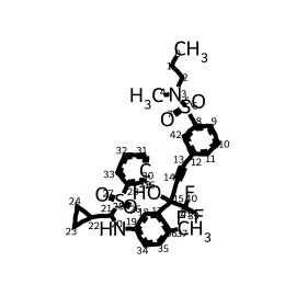 CCCN(C)S(=O)(=O)c1cccc(C#CC(O)(c2cc(NC(C3CC3)S(=O)(=O)c3ccccc3)ccc2C)C(F)(F)F)c1